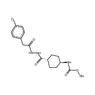 CC(C)(C)OC(=O)N[C@H]1CC[C@H](C(=O)NNC(=O)Cc2ccc(Cl)cc2)CC1